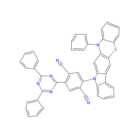 N#Cc1cc(-n2c3ccccc3c3cc4c(cc32)N(c2ccccc2)c2ccccc2S4)c(C#N)cc1-c1nc(-c2ccccc2)nc(-c2ccccc2)n1